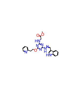 COC(=O)CNc1nc(N/N=C\c2c[nH]c3ccccc23)nc(OCCc2ccccn2)n1